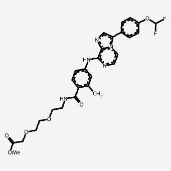 COC(=O)COCCOCCNC(=O)c1ccc(Nc2nccn3c(-c4ccc(OC(F)F)cc4)cnc23)cc1C